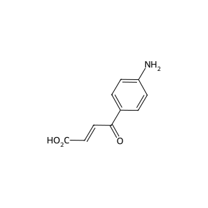 Nc1ccc(C(=O)C=CC(=O)O)cc1